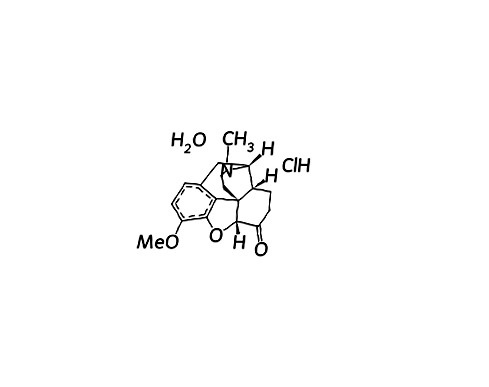 COc1ccc2c3c1O[C@H]1C(=O)CC[C@H]4[C@@H](C2)N(C)CC[C@]314.Cl.O